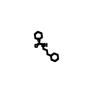 O=C(NCCCC1CCCCC1)N1CCCCC1